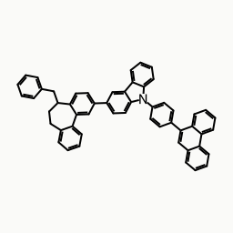 c1ccc(CC2CCc3ccccc3-c3cc(-c4ccc5c(c4)c4ccccc4n5-c4ccc(-c5cc6ccccc6c6ccccc56)cc4)ccc32)cc1